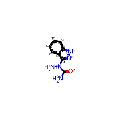 NC(=O)N(N)c1n[nH]c2ccccc12